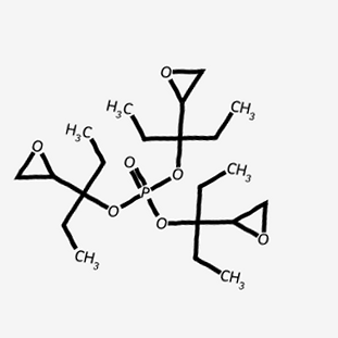 CCC(CC)(OP(=O)(OC(CC)(CC)C1CO1)OC(CC)(CC)C1CO1)C1CO1